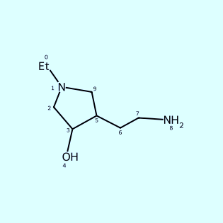 CCN1CC(O)C(CCN)C1